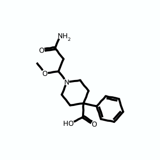 COC(CC(N)=O)N1CCC(C(=O)O)(c2ccccc2)CC1